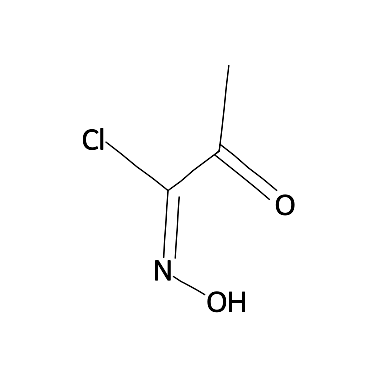 CC(=O)/C(Cl)=N\O